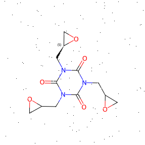 O=c1n(CC2CO2)c(=O)n(C[C@H]2CO2)c(=O)n1CC1CO1